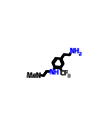 CNCCNc1ccc(CCN)cc1C(F)(F)F